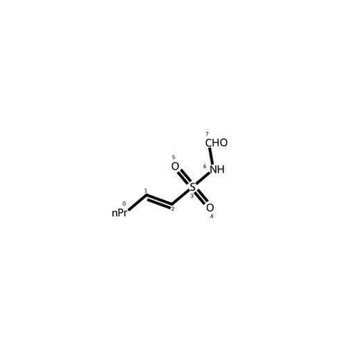 CCCC=CS(=O)(=O)NC=O